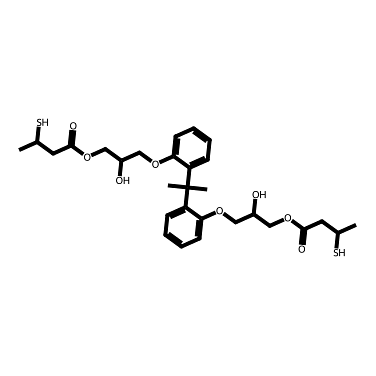 CC(S)CC(=O)OCC(O)COc1ccccc1C(C)(C)c1ccccc1OCC(O)COC(=O)CC(C)S